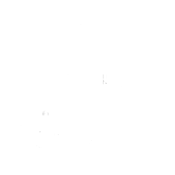 CC(C)[Si](Oc1cc(OCC2CO2)c(NC(=O)C2CCCC2)cc1Cl)(C(C)C)C(C)C